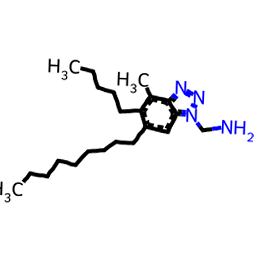 CCCCCCCCCc1cc2c(nnn2CN)c(C)c1CCCCC